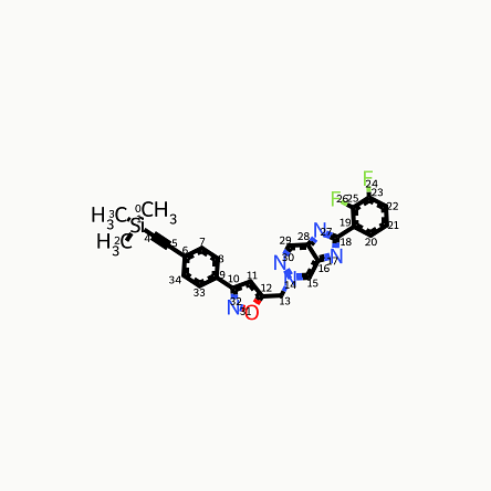 C[Si](C)(C)C#Cc1ccc(-c2cc(Cn3cc4nc(-c5cccc(F)c5F)nc-4cn3)on2)cc1